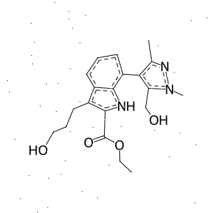 CCOC(=O)c1[nH]c2c(-c3c(C)nn(C)c3CO)cccc2c1CCCO